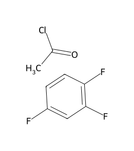 CC(=O)Cl.Fc1ccc(F)c(F)c1